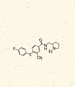 CCN1CCCC1CNC(=O)c1ccc(Sc2ccc(F)cc2)c(C#N)c1